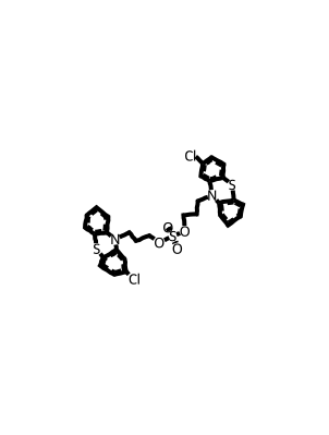 O=S(=O)(OCCCN1c2ccccc2Sc2ccc(Cl)cc21)OCCCN1c2ccccc2Sc2ccc(Cl)cc21